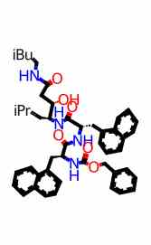 CCC(C)CNC(=O)C[C@H](O)[C@H](CC(C)C)NC(=O)[C@H](Cc1cccc2ccccc12)NC(=O)[C@H](Cc1cccc2ccccc12)NC(=O)OCc1ccccc1